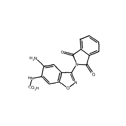 Nc1cc2c(N3C(=O)c4ccccc4C3=O)noc2cc1NC(=O)O